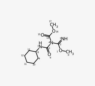 COC(=N)N(C(=O)NC1CCCCC1)C(=O)OC